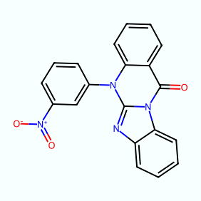 O=c1c2ccccc2n(-c2cccc([N+](=O)[O-])c2)c2nc3ccccc3n12